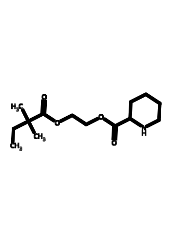 CCC(C)(C)C(=O)OCCOC(=O)C1CCCCN1